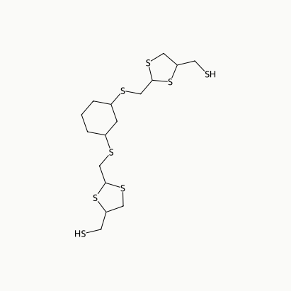 SCC1CSC(CSC2CCCC(SCC3SCC(CS)S3)C2)S1